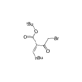 CCCC/C=C(\C(=O)CBr)C(=O)OC(C)(C)C